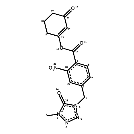 Cn1nnn(Cc2ccc(C(=O)OC3=CC(=O)CCC3)c([N+](=O)[O-])c2)c1=O